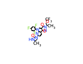 CC(COC(F)(F)F)NC(=O)c1cn(-c2c(F)cc(F)cc2F)c2nc(N3CC(C)NC3=O)ccc2c1=O